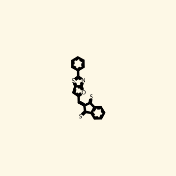 S=C1C(=Cc2cc3sc(-c4ccccc4)nc3o2)C(=S)c2ccccc21